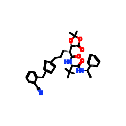 C[C@@H](NC(=O)[C@@H](NC(=O)[C@H](CCCc1ccc(Cc2ccccc2C#N)cc1)[C@@H]1OC(C)(C)OC1=O)C(C)(C)C)c1ccccc1